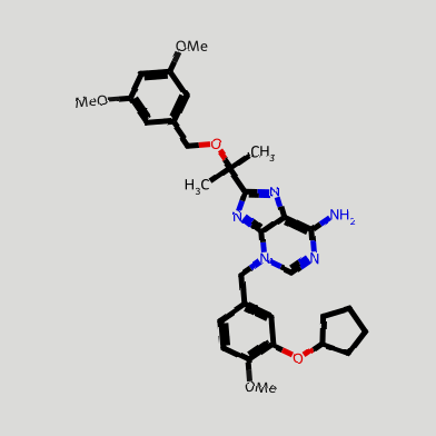 COc1cc(COC(C)(C)c2nc3c(N)ncn(Cc4ccc(OC)c(OC5CCCC5)c4)c-3n2)cc(OC)c1